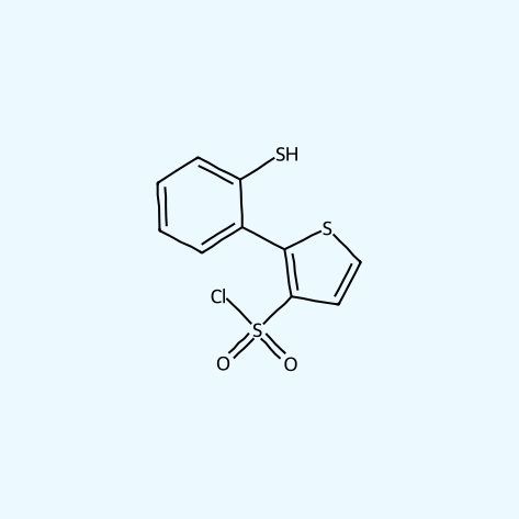 O=S(=O)(Cl)c1ccsc1-c1ccccc1S